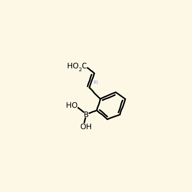 O=C(O)/C=C/c1ccccc1B(O)O